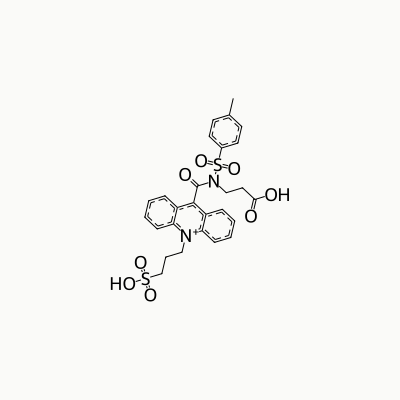 Cc1ccc(S(=O)(=O)N(CCC(=O)O)C(=O)c2c3ccccc3[n+](CCCS(=O)(=O)O)c3ccccc23)cc1